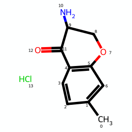 Cc1ccc2c(c1)OCC(N)C2=O.Cl